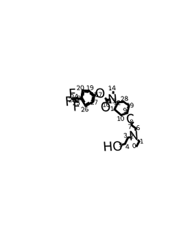 CCN(CCO)CCC[C@H]1CC[C@H](N(C)C(=O)Oc2ccc(C(F)(F)F)cc2)CC1